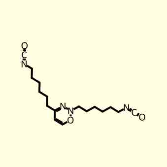 O=C=NCCCCCCC1=NN(CCCCCCN=C=O)OC=C1